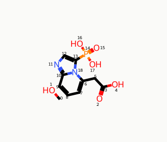 CO.O=C(O)Cc1cccc2ncc(P(=O)(O)O)n12